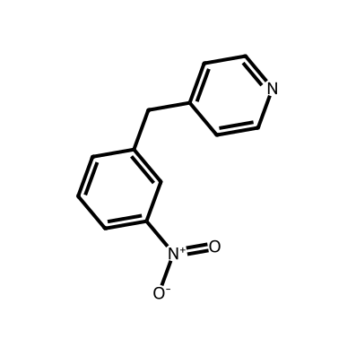 O=[N+]([O-])c1cccc(Cc2ccncc2)c1